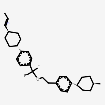 C/C=C/[C@H]1CC[C@H](c2ccc(C(F)(F)OCCc3ccc([C@H]4CC[C@H](C)CC4)cc3)cc2)CC1